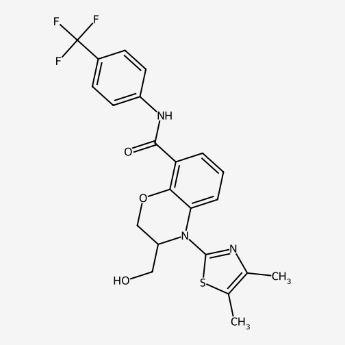 Cc1nc(N2c3cccc(C(=O)Nc4ccc(C(F)(F)F)cc4)c3OCC2CO)sc1C